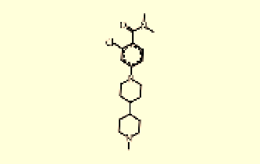 CN1CCC(C2CCN(c3ccc(C(=O)N(C)C)c(Cl)c3)CC2)CC1